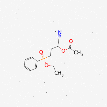 CCOP(=O)(CCC(C#N)OC(C)=O)c1ccccc1